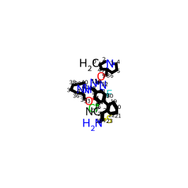 C=C1CN2CCCC2(COc2nc3c4c(c(Cl)c(-c5cccc6sc(N)c(C#N)c56)c(F)c4n2)OCC2C4CCC(CN32)N4)C1